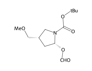 COC[C@H]1C[C@@H](OC=O)N(C(=O)OC(C)(C)C)C1